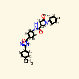 Cc1ccc(-c2noc(-c3ccc(NC(=O)C4CC(=O)N(c5ccccc5)C4)cc3)n2)cc1